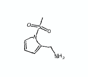 CS(=O)(=O)n1cccc1CN